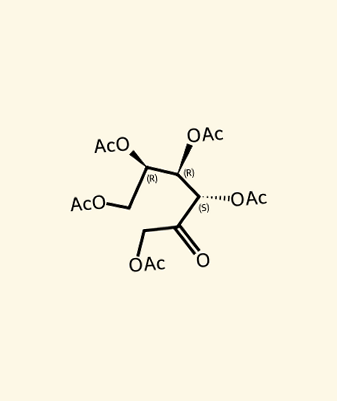 CC(=O)OCC(=O)[C@@H](OC(C)=O)[C@H](OC(C)=O)[C@@H](COC(C)=O)OC(C)=O